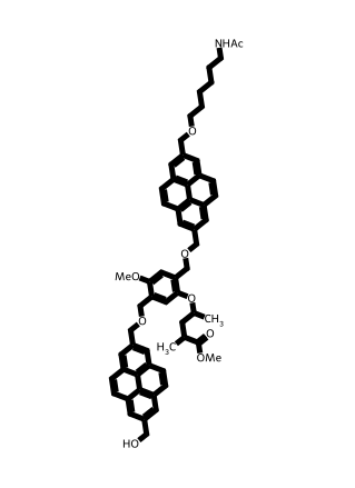 COC(=O)C(C)CC(C)Oc1cc(COCc2cc3ccc4cc(CO)cc5ccc(c2)c3c45)c(OC)cc1COCc1cc2ccc3cc(COCCCCCCNC(C)=O)cc4ccc(c1)c2c34